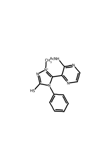 CC(=O)Nc1nccnc1-c1n(-c2ccccc2)c(S)n[n+]1C